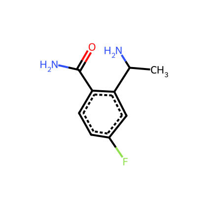 CC(N)c1cc(F)ccc1C(N)=O